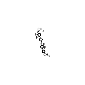 CCOc1ccc(C2=CCC(CCc3ccc(-c4ccc(C)cc4)c(F)c3F)CC2)c(F)c1F